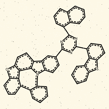 c1ccc2c(-c3nc(-c4ccc5c(c4)c4ccc6oc7cccc8c9ccccc9n5c4c6c78)nc(-c4cccc5sc6ccccc6c45)n3)cccc2c1